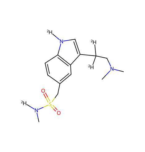 [2H]N(C)S(=O)(=O)Cc1ccc2c(c1)c(C([2H])([2H])CN(C)C)cn2[2H]